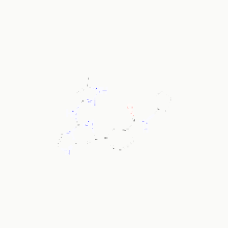 Cc1cc(Nc2nc(-c3cccc(C(=O)NC4CCCC4)c3)cc3nccn23)n[nH]1